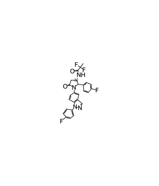 CC(F)(F)C(=O)N[C@H]1CC(=O)N(c2ccc3c(cnn3-c3ccc(F)cc3)c2)C1c1ccc(F)cc1